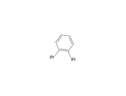 CC(C)c1[c]cccc1C(C)C